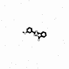 COc1cccc(-c2nc3n(n2)C(=O)c2ccccc2-3)c1